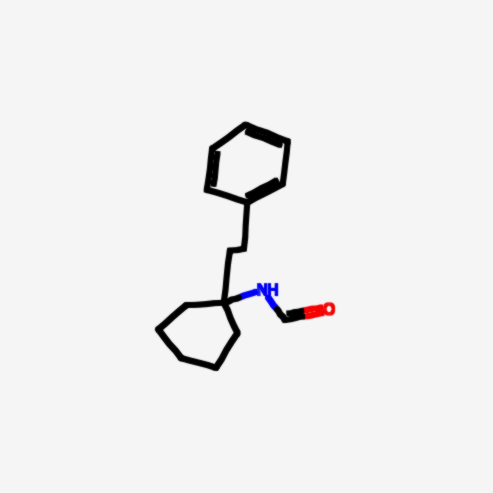 O=CNC1(CCc2ccccc2)CCCCC1